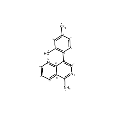 Nc1nnc(-c2ccc(C(F)(F)F)cc2O)c2ncccc12